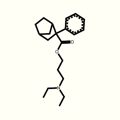 CCN(CC)CCCOC(=O)C1(c2ccccc2)CC2CCC1C2